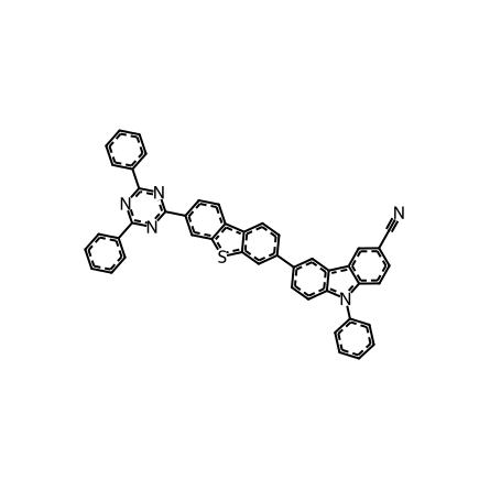 N#Cc1ccc2c(c1)c1cc(-c3ccc4c(c3)sc3cc(-c5nc(-c6ccccc6)nc(-c6ccccc6)n5)ccc34)ccc1n2-c1ccccc1